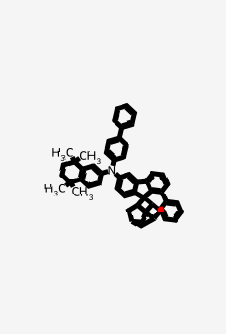 CC1(C)CCC(C)(C)c2cc(N(c3ccc(-c4ccccc4)cc3)c3ccc4c(c3)-c3cccc(-c5ccccc5)c3C43C4CC5CC6CC3C64C5)ccc21